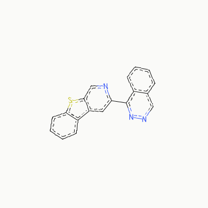 c1ccc2c(-c3cc4c(cn3)sc3ccccc34)nncc2c1